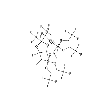 CC(C1(F)OC(C(F)(F)F)(C(F)(F)F)OC1(F)C(C)[Si](OCC(F)(F)F)(OCC(F)(F)F)OCC(F)(F)F)[Si](OCC(F)(F)F)(OCC(F)(F)F)OCC(F)(F)F